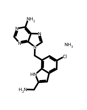 N.NCc1cc2cc(Cl)cc(Cn3cnc4c(N)ncnc43)c2[nH]1